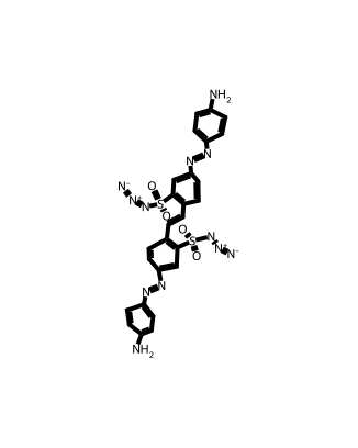 [N-]=[N+]=NS(=O)(=O)c1cc(N=Nc2ccc(N)cc2)ccc1C=Cc1ccc(N=Nc2ccc(N)cc2)cc1S(=O)(=O)N=[N+]=[N-]